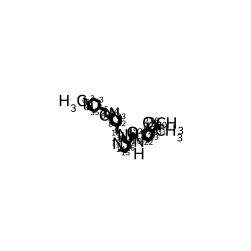 CN1CCC(COc2cc(CNc3ncccc3C(=O)Nc3ccc4c(c3)OCC4(C)C)ccn2)CC1